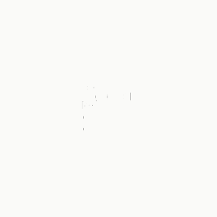 [Cl-].[Cl-].[Cl-].[Cl-].[Cl-].[O]=[Re+5]